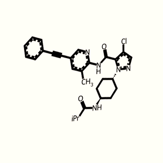 Cc1cc(C#Cc2ccccc2)cnc1NC(=O)c1c(Cl)cnn1[C@H]1CC[C@H](NC(=O)C(C)C)CC1